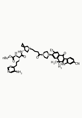 CCCCOC(=O)N[C@@H](CCCc1ncncc1N)C(=O)N[C@H]1CN(CCCC(=O)N2CCN(c3cc4c(cc3CC)C(=O)c3c([nH]c5cc(C#N)ccc35)C4(C)C)CC2)CC12CC2